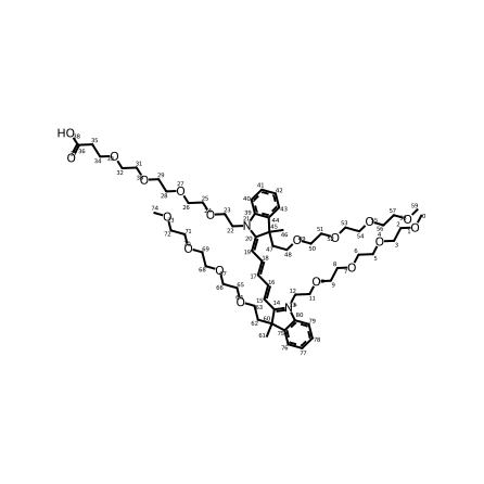 COCCOCCOCCOCC[N+]1=C(/C=C/C=C/C=C2/N(CCOCCOCCOCCOCCC(=O)O)c3ccccc3C2(C)CCOCCOCCOCCOC)C(C)(CCOCCOCCOCCOC)c2ccccc21